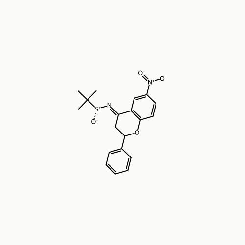 CC(C)(C)[S@@+]([O-])/N=C1\CC(c2ccccc2)Oc2ccc([N+](=O)[O-])cc21